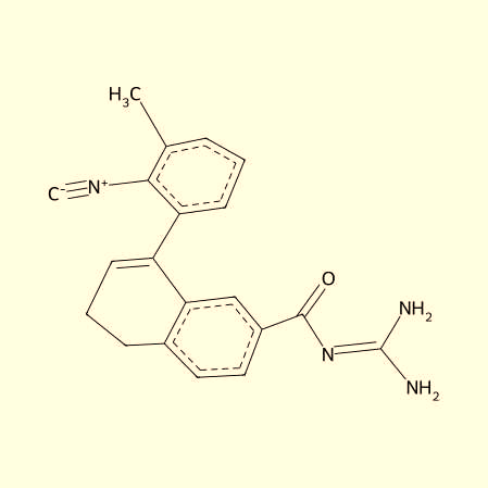 [C-]#[N+]c1c(C)cccc1C1=CCCc2ccc(C(=O)N=C(N)N)cc21